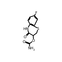 NC(=O)OC1CSc2cc(F)ccc2NC1=O